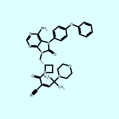 CC(C)(/C=C(/C#N)C(=O)N1CC[C@H]1Cn1c(=O)n(-c2ccc(Oc3ccccc3)cc2)c2c(N)ncnc21)N1CCOCC1